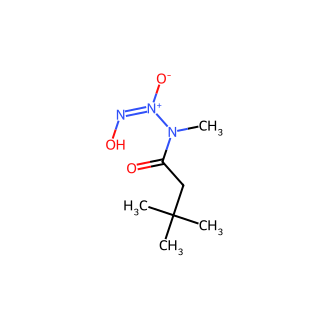 CN(C(=O)CC(C)(C)C)/[N+]([O-])=N\O